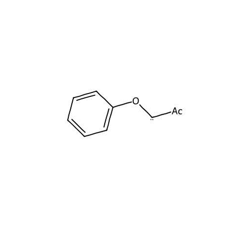 CC(=O)[C]Oc1ccccc1